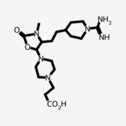 CN1C(=O)OC(N2CCN(CCC(=O)O)CC2)C1CCC1CCN(C(=N)N)CC1